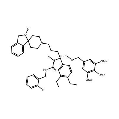 COc1cc(COC[C@](CCCN2CCC3(CC2)c2ccccc2C[S+]3[O-])(c2ccc(CI)c(CI)c2)N(C)C(=O)NCc2ccccc2F)cc(OC)c1OC